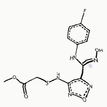 COC(=O)CSNc1nonc1/C(=N/O)Nc1ccc(F)cc1